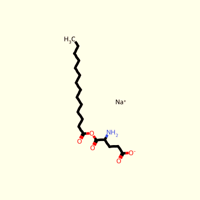 CCCCCCCCCCCCCC(=O)OC(=O)C(N)CCC(=O)[O-].[Na+]